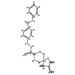 N=C1NCC2(CCN(C(=O)CCc3ccc(OCc4ccncc4)cc3)CC2)N1